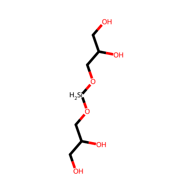 OCC(O)CO[SiH2]OCC(O)CO